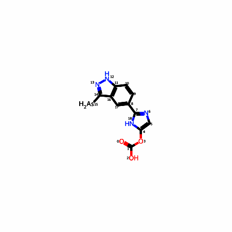 O=C(O)Oc1cnc(-c2ccc3[nH]nc([AsH2])c3c2)[nH]1